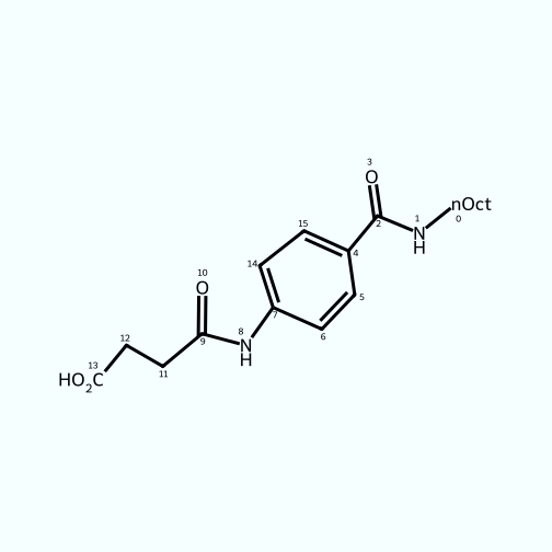 CCCCCCCCNC(=O)c1ccc(NC(=O)CCC(=O)O)cc1